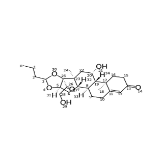 CCCC1O[C@@H]2C[C@H]3[C@@H]4CCC5=CC(=O)CC[C@]5(C)[C@H]4[C@@H](O)C[C@]3(C)[C@]2(C(=O)CO)O1